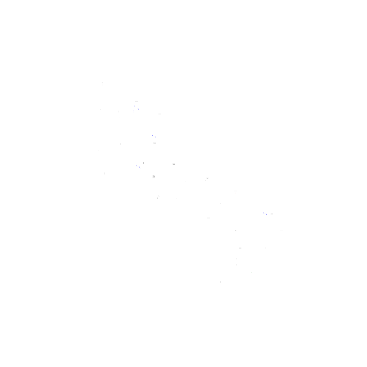 Fc1ccc(F)c2c(NC3Cc4ccc(Oc5cc(C(F)(F)F)ccn5)cc4C3)ncnc12